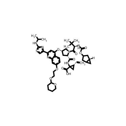 C=C[C@@H]1CC1(NC(=O)[C@@H]1C[C@H](Oc2cc(-c3csc(NC(C)C)n3)nc3cc(OCCOC4CCCCO4)ccc23)CN1C(=O)[C@H](NC(=O)OC1CC2C[C@H]2C1)C(C)(C)C)C(=O)O